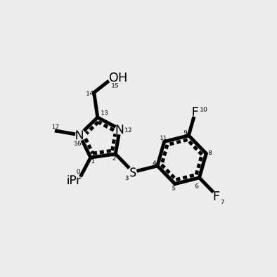 CC(C)c1c(Sc2cc(F)cc(F)c2)nc(CO)n1C